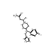 C[C@H](CC(N)=O)N1CCC(N(Cc2ccsc2)c2ccc(F)cc2)CC1